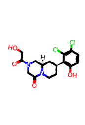 O=C(CO)N1CC(=O)N2CC[C@H](c3c(O)ccc(Cl)c3Cl)C[C@@H]2C1